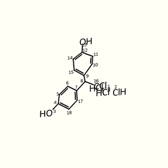 Cl.Cl.Cl.Oc1ccc(C(c2ccc(O)cc2)C(Cl)(Cl)Cl)cc1